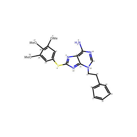 COc1cc(Sc2nc3c(N)ncn(CCc4ccccc4)c-3n2)cc(OC)c1OC